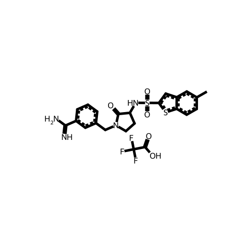 Cc1ccc2sc(S(=O)(=O)NC3CCN(Cc4cccc(C(=N)N)c4)C3=O)cc2c1.O=C(O)C(F)(F)F